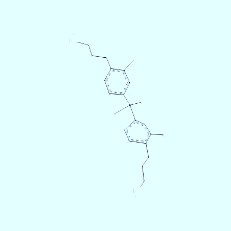 Cc1cc(C(C)(C)c2ccc(CCCO)c(C)c2)ccc1CCCO